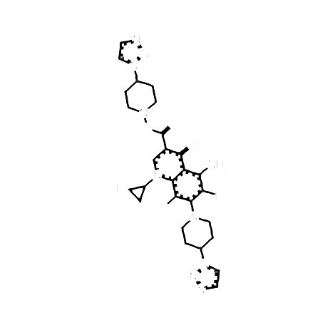 Cl.Nc1c(F)c(N2CCC(n3ccnn3)CC2)c(F)c2c1c(=O)c(C(=O)ON1CCC(n3ccnn3)CC1)cn2C1CC1